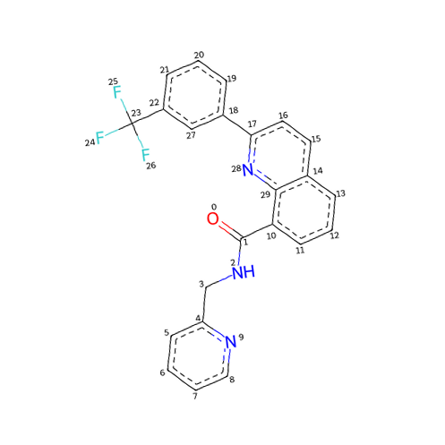 O=C(NCc1ccccn1)c1cccc2ccc(-c3cccc(C(F)(F)F)c3)nc12